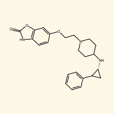 O=c1[nH]c2ccc(OCCN3CCC(N[C@@H]4CC4c4ccccc4)CC3)cc2o1